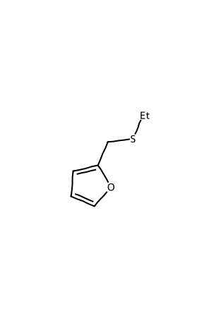 CCSCc1ccco1